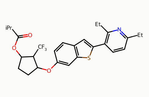 CCc1ccc(-c2cc3ccc(OC4CCC(OC(=O)C(C)C)C4C(F)(F)F)cc3s2)c(CC)n1